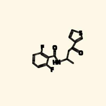 CC(CC(=O)c1ccsc1)NC(=O)c1c(F)cccc1F